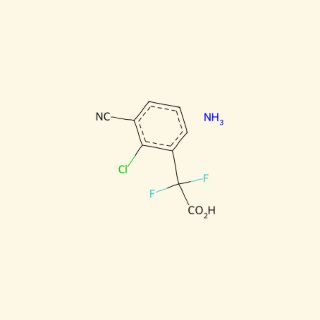 N.N#Cc1cccc(C(F)(F)C(=O)O)c1Cl